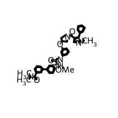 COc1ccc(-c2cccc(C(=O)N(C)C)c2)cc1S(=O)(=O)CNc1cccc(O[C@H]2CCN(C(=O)c3cnn(C)c3-c3ccccc3)C2)c1